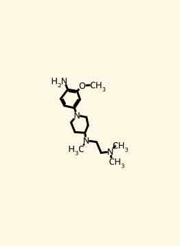 COc1cc(N2CCC(N(C)CCN(C)C)CC2)ccc1N